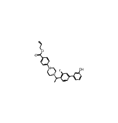 C=CCOC(=O)c1ccc(N2CCN(C(C)c3ccc(-c4cccc(O)c4)cc3F)CC2)cc1